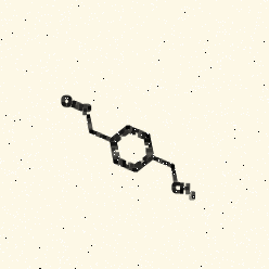 CCc1ccc(CP=O)cc1